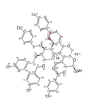 CS[C@@H]1O[C@@H]2COC(c3ccccc3)O[C@@H]2[C@H](O[C@H]2O[C@H](COCc3ccc(Cl)cc3)[C@H](OCc3ccc(Cl)cc3)[C@H](OCc3ccc(Cl)cc3)[C@H]2OCc2ccc(Cl)cc2)[C@H]1OC(=O)c1ccc(Cl)cc1